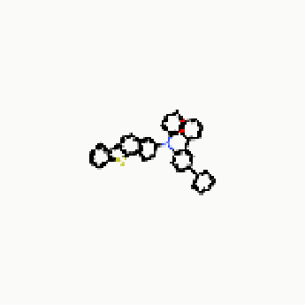 c1ccc(-c2ccc(N(c3ccccc3)c3ccc4c(ccc5c6ccccc6sc45)c3)c(-c3ccccc3)c2)cc1